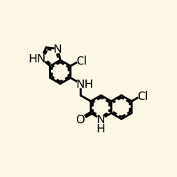 O=c1[nH]c2ccc(Cl)cc2cc1CNc1ccc2[nH]cnc2c1Cl